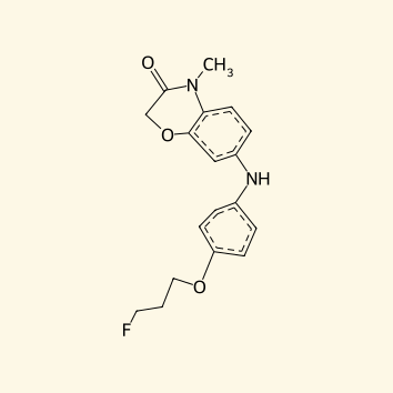 CN1C(=O)COc2cc(Nc3ccc(OCCCF)cc3)ccc21